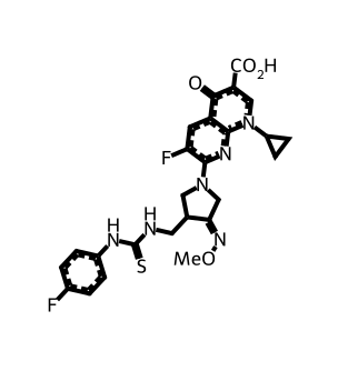 CON=C1CN(c2nc3c(cc2F)c(=O)c(C(=O)O)cn3C2CC2)CC1CNC(=S)Nc1ccc(F)cc1